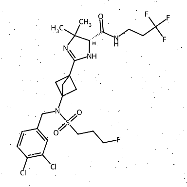 CC1(C)N=C(C23CC(N(Cc4ccc(Cl)c(Cl)c4)S(=O)(=O)CCCF)(C2)C3)N[C@H]1C(=O)NCCC(F)(F)F